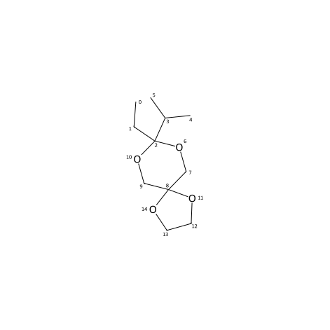 CCC1(C(C)C)OCC2(CO1)OCCO2